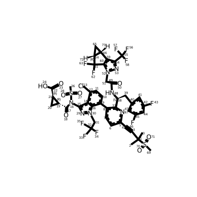 CC(C)(C#Cc1ccc(-c2ccc(Cl)c3c(N(C(=O)[C@@H]4C[C@H]4C(=O)O)S(C)(=O)=O)nn(CC(F)(F)F)c23)c([C@H](Cc2cc(F)cc(F)c2)NC(=O)Cn2nc(C(F)(F)F)c3c2C(F)(F)[C@@H]2C[C@H]32)n1)S(C)(=O)=O